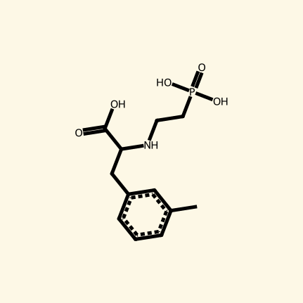 Cc1cccc(CC(NCCP(=O)(O)O)C(=O)O)c1